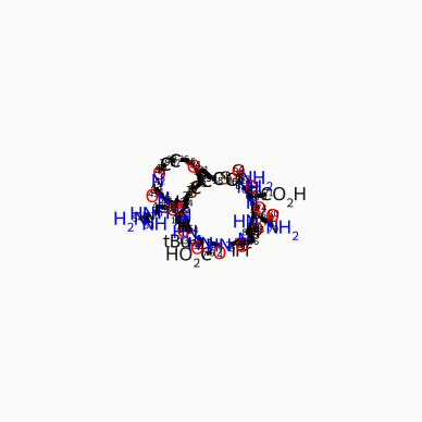 CC(C)[C@@H]1NC(=O)[C@H](CC(=O)O)NC(=O)[C@H](CC(C)(C)C)NC(=O)[C@@H]2CCCN2C(=O)[C@@H]2CSCc3cc(cc(c3)OCCCCCCO/N=C/C(=O)N[C@@H](CCCNC(=N)N)C(=O)N2)CSC[C@@H](C(N)=O)NC(=O)[C@H](CCC(=O)O)NC(=O)[C@H](CCC(N)=O)NC(=O)[C@@H]2CCCN2C1=O